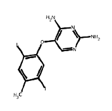 Cc1cc(I)c(Oc2cnc(N)nc2N)cc1I